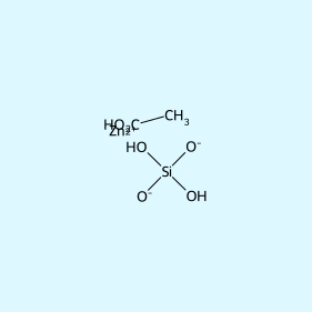 CC(=O)O.[O-][Si]([O-])(O)O.[Zn+2]